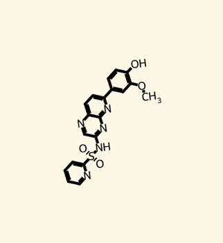 COc1cc(-c2ccc3ncc(NS(=O)(=O)c4ccccn4)nc3n2)ccc1O